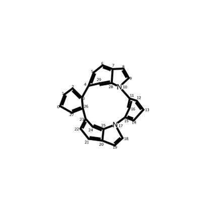 c1ccc2c3ccc4ccn(c5cccc(c5)n5ccc6ccc(cc65)c2c1)c4c3